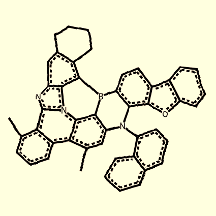 Cc1cccc2c1c1nc3cc4c(c5c3n1c1c3c(cc(C)c21)N(c1cccc2ccccc12)c1c(ccc2c1oc1ccccc12)B53)CCCC4